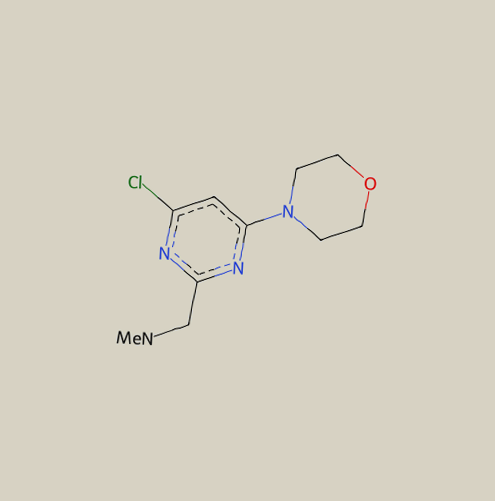 CNCc1nc(Cl)cc(N2CCOCC2)n1